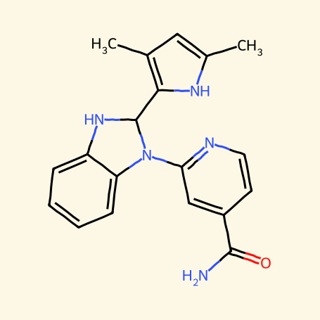 Cc1cc(C)c(C2Nc3ccccc3N2c2cc(C(N)=O)ccn2)[nH]1